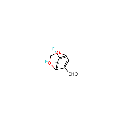 O=Cc1cc2c(F)c(F)c1OCO2